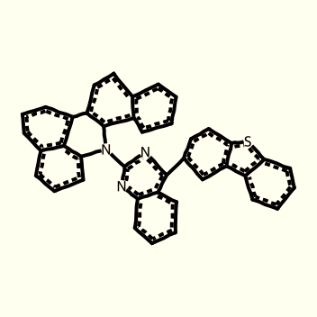 c1ccc2c3c(ccc2c1)-c1cccc2cccc(c12)N3c1nc(-c2ccc3sc4ccccc4c3c2)c2ccccc2n1